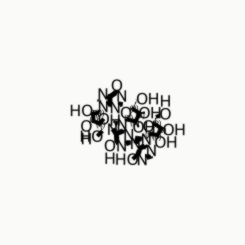 O=c1nc[nH]c2c1ncn2[C@@H]1O[C@H](CO)[C@@H](O)[C@H]1O.OC[C@H]1O[C@@H](n2cnc3c(O)ncnc32)[C@H](O)[C@@H]1O.OC[C@H]1O[C@@H](n2cnc3c(O)ncnc32)[C@H](O)[C@@H]1O